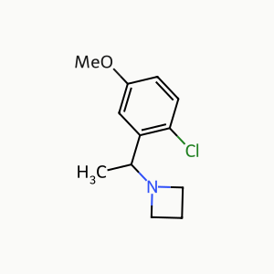 COc1ccc(Cl)c(C(C)N2CCC2)c1